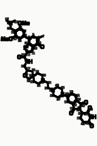 COc1cc(-c2cn(C)c(=O)c3cc(C(=O)NCC4CC5(CCN(CCN6CCN(c7ccc8c(c7)C(=O)N(C7CCC(=O)NC7=O)C8=O)CC6)CC5)CO4)sc23)cc(OC)c1CN(C)C